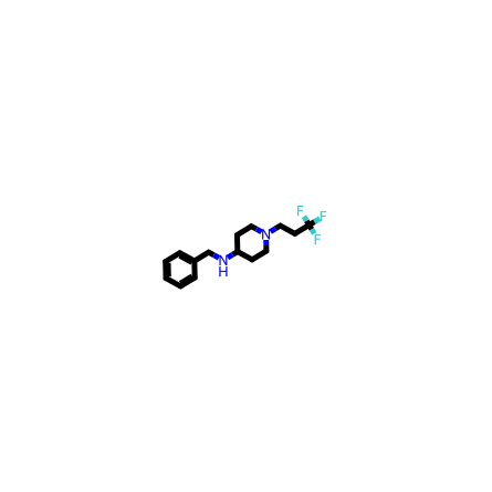 FC(F)(F)CCN1CCC(NCc2ccccc2)CC1